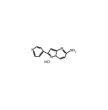 Cl.Nc1ccn2nc(-c3ccncc3)cc2n1